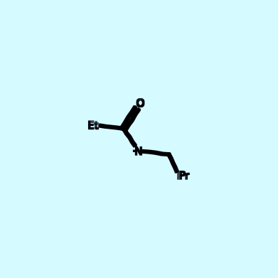 CCC(=O)[N]CC(C)C